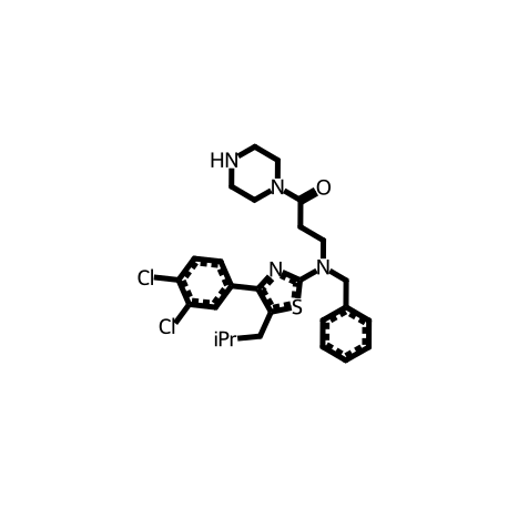 CC(C)Cc1sc(N(CCC(=O)N2CCNCC2)Cc2ccccc2)nc1-c1ccc(Cl)c(Cl)c1